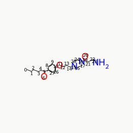 CCCCCC(=O)c1ccc(OCCCN2CCN(C(=O)CCN)CC2)cc1